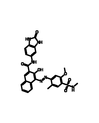 CNS(=O)(=O)c1cc(C)c(/N=N/c2c(O)c(C(=O)Nc3ccc4[nH]c(=O)[nH]c4c3)cc3ccccc23)cc1OC